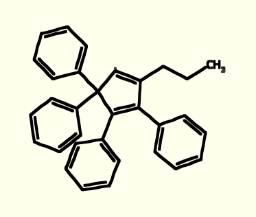 CCCC1=[C]C(c2ccccc2)(c2ccccc2)C(c2ccccc2)=C1c1ccccc1